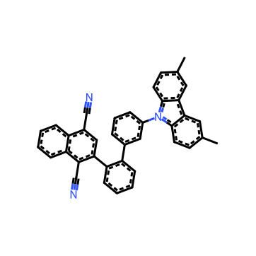 Cc1ccc2c(c1)c1cc(C)ccc1n2-c1cccc(-c2ccccc2-c2cc(C#N)c3ccccc3c2C#N)c1